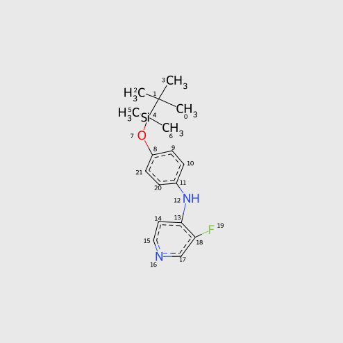 CC(C)(C)[Si](C)(C)Oc1ccc(Nc2ccncc2F)cc1